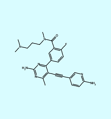 Cc1nc(N)nc(-c2ccc(F)c(C(=O)N(C)CCCN(C)C)c2)c1C#Cc1ccc(N)nc1